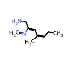 C=N/C(=C\C(C)=C/CC)CN